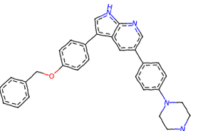 CN1CCN(c2ccc(-c3cnc4[nH]cc(-c5ccc(OCc6ccccc6)cc5)c4c3)cc2)CC1